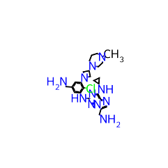 CN1CCCN(C2CN(c3cc(CN)cc(Nc4nc(NC5CC5)c5ncc(CN)n5n4)c3Cl)C2)CC1